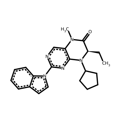 CC[C@@H]1C(=O)N(C)c2cnc(-n3ccc4ccccc43)nc2N1C1CCCC1